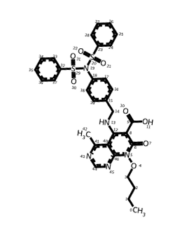 CCCCOn1c(=O)c(C(=O)O)c(NCc2ccc(N(S(=O)(=O)c3ccccc3)S(=O)(=O)c3ccccc3)cc2)c2c(C)ncnc21